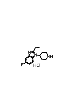 CCc1nc2cc(F)ccc2n1C1CCNCC1.Cl